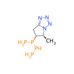 C[C@H]1[C@@H](P(P)PP)Cc2nnnn21